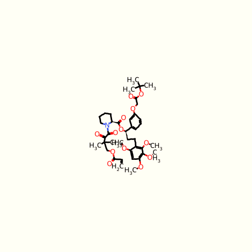 C=CC(=O)OCC(C)(C)C(=O)C(=O)N1CCCC[C@H]1C(=O)O[C@H](CCc1c(OC)cc(OC)c(OC)c1OC)c1cccc(OCC(=O)OC(C)(C)C)c1